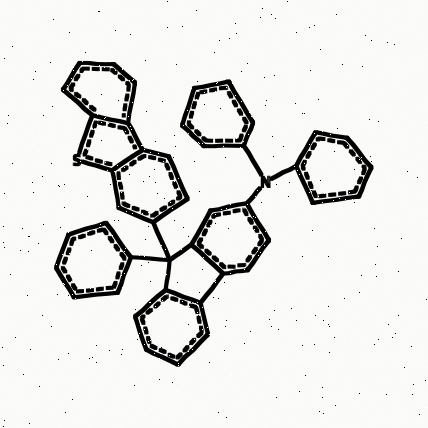 c1ccc(N(c2ccccc2)c2ccc3c(c2)C(c2ccccc2)(c2ccc4c(c2)sc2ccccc24)c2ccccc2-3)cc1